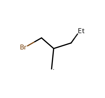 [CH2]C(CBr)CCC